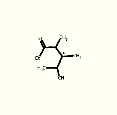 CCC(=O)C(C)[C@@H](C)C(C)C#N